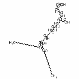 CCCCCCCC/C=C/CCCCCCCC(=O)OCC(COP(=O)(O)OCCNC(=O)CCCCC(=O)NCC(=O)NCC(=O)NCC(=O)C(CC(=O)O)CC(=O)NCC(=O)NCC(=O)N(CC)CC(=O)O)OC(=O)CCCCCCC/C=C/CCCCCCCC